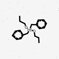 CCC[O][Hf]([CH2]c1ccccc1)([CH2]c1ccccc1)[O]CCC